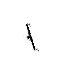 CCCCCCCCCCCCCC(=O)OCCNCCOC(=O)CCCCCCCCCCCCC.CS(=O)(=O)O